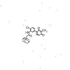 Cn1c(=O)cnn(-c2ccc(Cl)c(NC(=O)CC34CC5CC(CC(C5)C3)C4)c2)c1=O